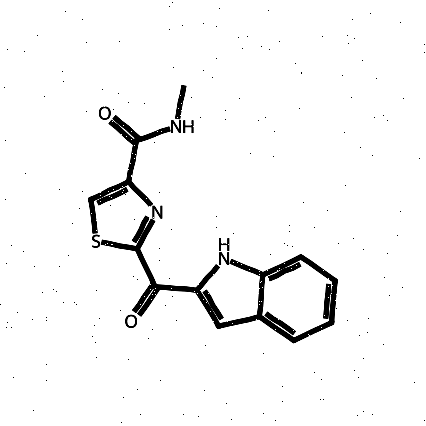 CNC(=O)c1csc(C(=O)c2cc3ccccc3[nH]2)n1